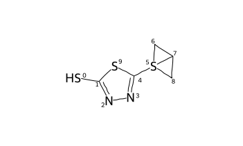 Sc1nnc(S23CC2C3)s1